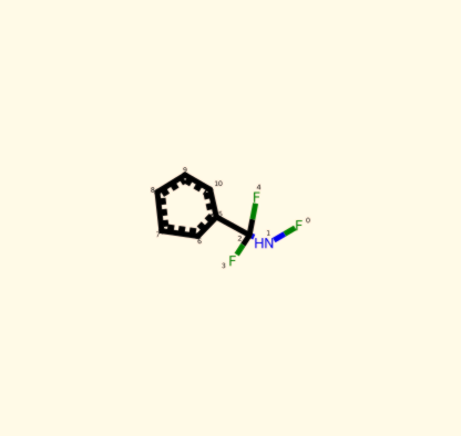 FNC(F)(F)c1ccccc1